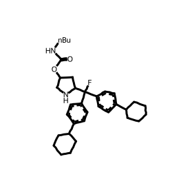 CCCCNC(=O)OC1CNC(C(F)(c2ccc(C3CCCCC3)cc2)c2ccc(C3CCCCC3)cc2)C1